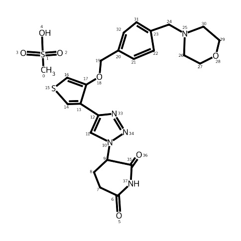 CS(=O)(=O)O.O=C1CCC(n2cc(-c3cscc3OCc3ccc(CN4CCOCC4)cc3)nn2)C(=O)N1